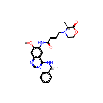 COc1cc2ncnc(N[C@H](C)c3ccccc3)c2cc1NC(=O)C=CCN1CCOC(=O)[C@@H]1C